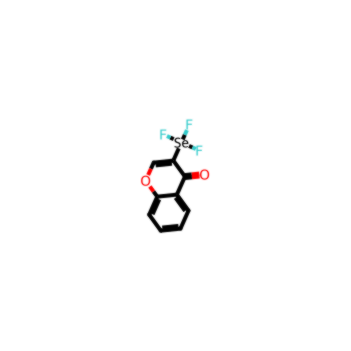 O=c1c([Se](F)(F)F)coc2ccccc12